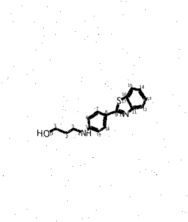 OCCCNc1ccc(-c2nc3ccccc3s2)cc1